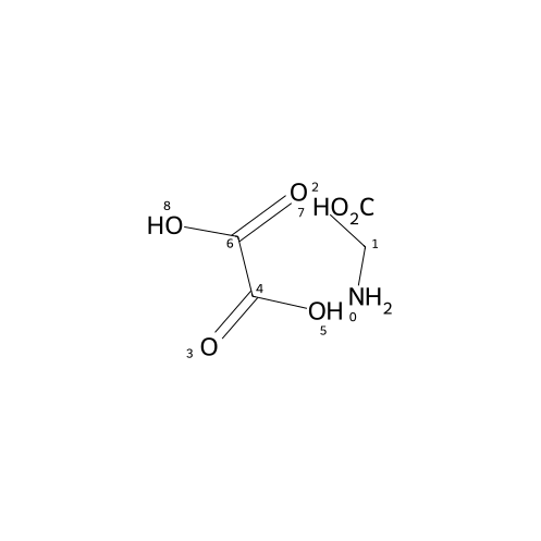 NCC(=O)O.O=C(O)C(=O)O